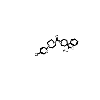 O=C(N1CCN(c2ccc(Cl)cn2)CC1)N1CCC(C(=O)O)(c2ccccc2)CC1